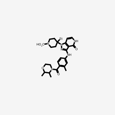 CCC1(n2nc(Nc3ccc(C(=O)N4CCOC(C)C4C)c(C)c3)c3c(=O)[nH]ccc32)CCN(C(=O)O)CC1